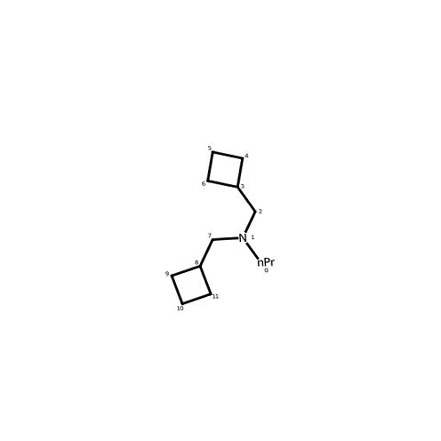 CCCN(CC1CCC1)CC1CCC1